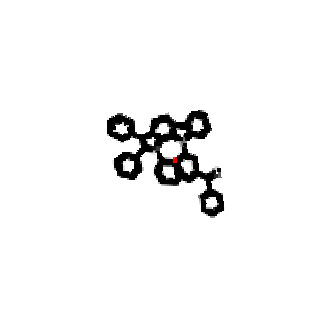 O=C(c1ccccc1)c1cccc(-n2c3ccccc3c3ccc4c(-c5ccccc5)c(-c5ccccc5)n(-c5ccccc5)c4c32)c1